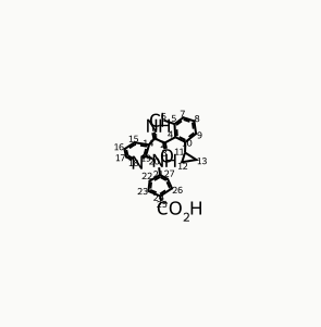 N=C(C(=O)c1c(Cl)cccc1C1CC1)c1cccnc1Nc1ccc(C(=O)O)cc1